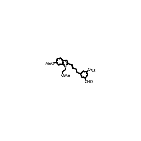 CCOc1cc(C=O)cc(CC/C=C/c2cc3ccc(OC)cc3n2CCOC)c1